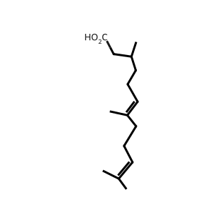 CC(C)=CCC/C(C)=C/CCC(C)CC(=O)O